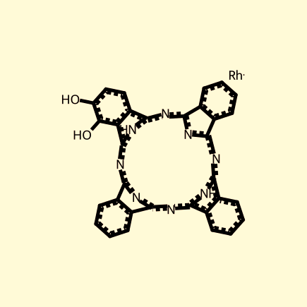 Oc1ccc2c3nc4nc(nc5[nH]c(nc6nc(nc([nH]3)c2c1O)-c1ccccc1-6)c1ccccc51)-c1ccccc1-4.[Rh]